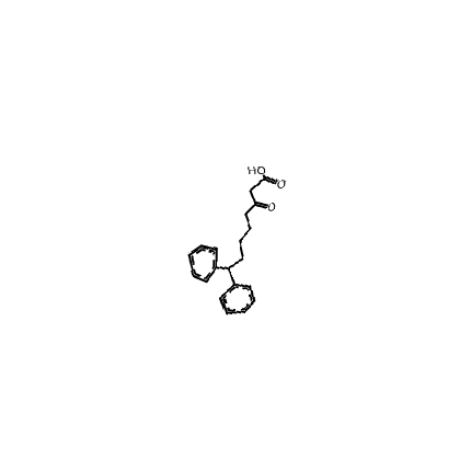 O=C(O)CC(=O)CCCCC(c1ccccc1)c1ccccc1